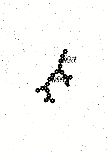 CCCCCCCCC1(CCCCCCCC)c2cc(-c3ccccc3)ccc2-c2ccc(-c3ccc(-n4c5ccc(-c6ccc7c(c6)C(CCCCCCCC)(CCCCCCCC)c6cc(-c8ccc(-n9c%10ccc(-c%11ccccc%11)cc%10c%10cc(-c%11ccc%12c(c%11)c%11ccccc%11n%12-c%11ccccc%11)ccc%109)cc8)ccc6-7)cc5c5cc(-c6ccc7c(c6)c6ccccc6n7-c6ccc7c(c6)CC7)ccc54)cc3)cc21